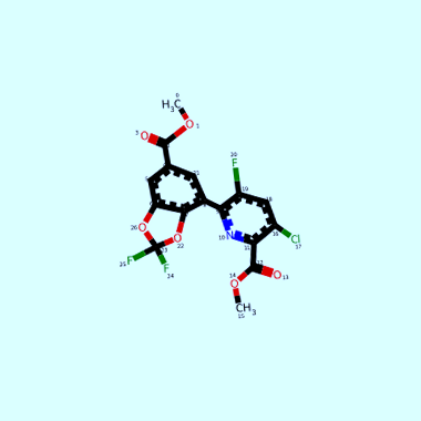 COC(=O)c1cc2c(c(-c3nc(C(=O)OC)c(Cl)cc3F)c1)OC(F)(F)O2